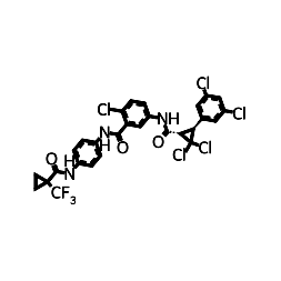 O=C(Nc1ccc(NC(=O)C2(C(F)(F)F)CC2)cc1)c1cc(NC(=O)[C@@H]2[C@@H](c3cc(Cl)cc(Cl)c3)C2(Cl)Cl)ccc1Cl